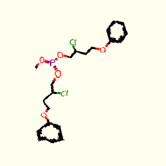 COP(OCC(Cl)CCOc1ccccc1)OCC(Cl)CCOc1ccccc1